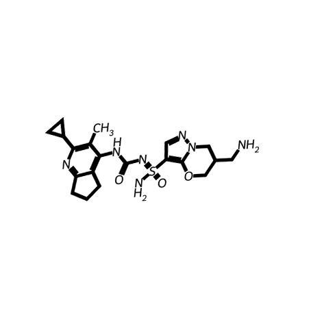 Cc1c(C2CC2)nc2c(c1NC(=O)N=S(N)(=O)c1cnn3c1OCC(CN)C3)CCC2